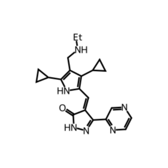 CCNCc1c(C2CC2)[nH]c(C=C2C(=O)NN=C2c2cnccn2)c1C1CC1